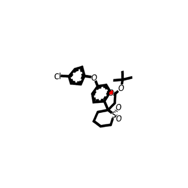 CC(C)(C)OC(=O)CC1(c2ccc(Oc3ccc(Cl)cc3)cc2)CCCCS1(=O)=O